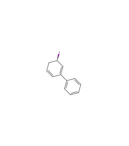 I[C@H]1C=C(c2ccccc2)C=CC1